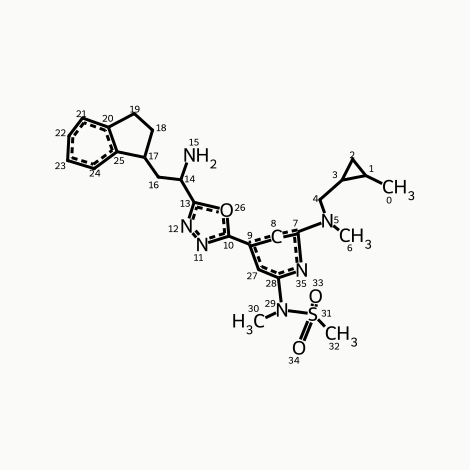 CC1CC1CN(C)c1cc(-c2nnc(C(N)CC3CCc4ccccc43)o2)cc(N(C)S(C)(=O)=O)n1